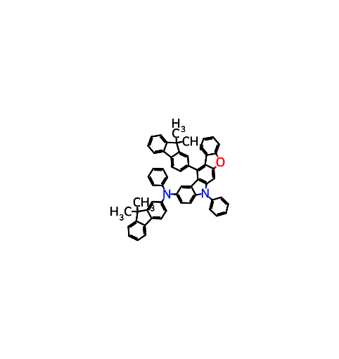 CC1(C)c2ccccc2-c2ccc(-c3c4c(cc5c3c3cc(N(c6ccccc6)c6ccc7c(c6)C(C)(C)c6ccccc6-7)ccc3n5-c3ccccc3)oc3ccccc34)cc21